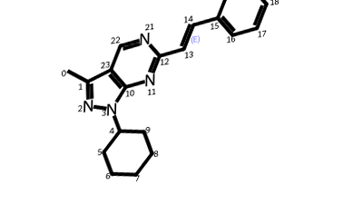 Cc1nn(C2CCCCC2)c2nc(/C=C/c3ccccc3)ncc12